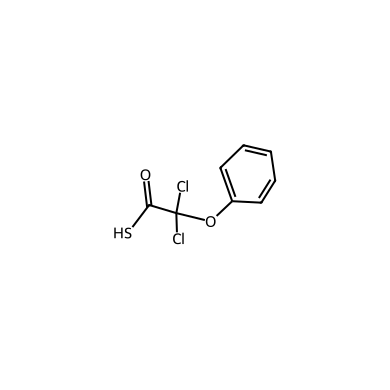 O=C(S)C(Cl)(Cl)Oc1ccccc1